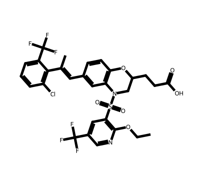 CCOc1ncc(C(F)(F)F)cc1S(=O)(=O)N1CC(CCC(=O)O)Oc2ccc(C=C(C)c3c(Cl)cccc3C(F)(F)F)cc21